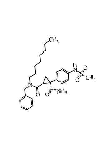 CCCCCCCCN(Cc1ccccc1)C(=O)C1CC1(C(N)=O)c1ccc(NS(C)(=O)=O)cc1